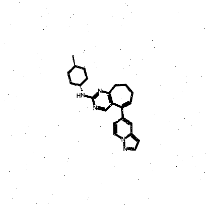 C[C@H]1CC[C@H](Nc2ncc3c(n2)CCCC=C3c2ccn3nccc3c2)CC1